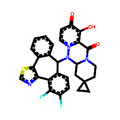 O=C1c2c(O)c(=O)ccn2N(C2c3ccccc3-c3scnc3-c3c2ccc(F)c3F)C2CC3(CCN12)CC3